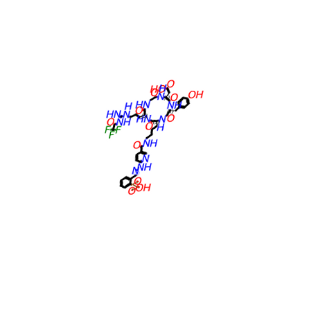 N=C(NCCC[C@@H]1NC(=O)[C@H](CCCCNC(=O)c2ccc(N/N=C/c3ccccc3S(=O)(=O)O)nc2)NC(=O)[C@@H](Cc2ccc(O)cc2)NC(=O)[C@H](CC(=O)O)NC(=O)CNC1=O)NC(=O)C(F)(F)F